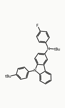 CC(C)(C)c1ccc(-n2c3ccccc3c3cc(N(c4ccc(F)cc4)C(C)(C)C)ccc32)cc1